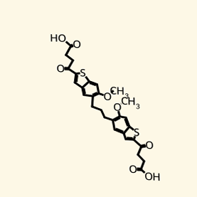 COc1cc2sc(C(=O)CCC(=O)O)cc2cc1CCCc1cc2cc(C(=O)CCC(=O)O)sc2cc1OC